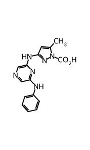 Cc1cc(Nc2cncc(Nc3ccccc3)n2)nn1C(=O)O